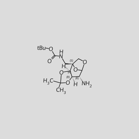 CC(C)(C)OC(=O)NC[C@@]12COC(O1)[C@H](N)[C@H]1OC(C)(C)O[C@H]12